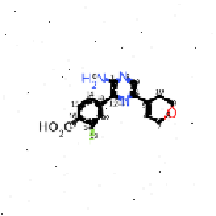 Nc1ncc(C2=CCOCC2)nc1-c1ccc(C(=O)O)c(F)c1